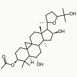 CC(=O)O[C@H]1CCC23CC24CC[C@]2(C)C([C@@]5(C)CCC(C(C)(C)O)O5)[C@@H](O)C[C@@]2(C)C4C[C@H](O)[C@H]3C1(C)C